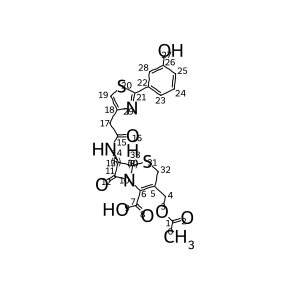 CC(=O)OCC1=C(C(=O)O)N2C(=O)[C@@H](NC(=O)Cc3csc(-c4cccc(O)c4)n3)[C@H]2SC1